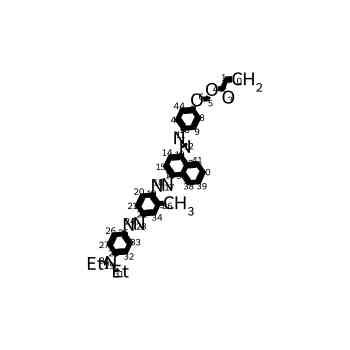 C=CC(=O)OCOc1ccc(N=Nc2ccc(N=Nc3ccc(N=Nc4ccc(N(CC)CC)cc4)cc3C)c3ccccc23)cc1